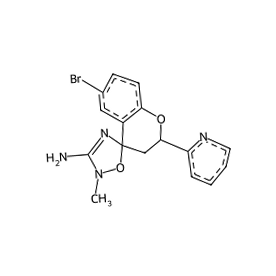 CN1OC2(CC(c3ccccn3)Oc3ccc(Br)cc32)N=C1N